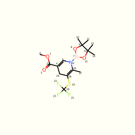 COC(=O)C1=CN(B2OC(C)(C)C(C)(C)O2)C(C)=C(SC(F)(F)F)C1